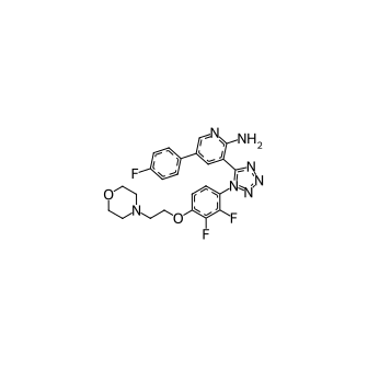 Nc1ncc(-c2ccc(F)cc2)cc1-c1nnnn1-c1ccc(OCCN2CCOCC2)c(F)c1F